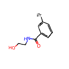 CC(C)c1cccc(C(=O)NCCO)c1